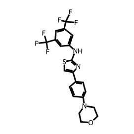 FC(F)(F)c1cc(Nc2nc(-c3ccc(N4CCOCC4)cc3)cs2)cc(C(F)(F)F)c1